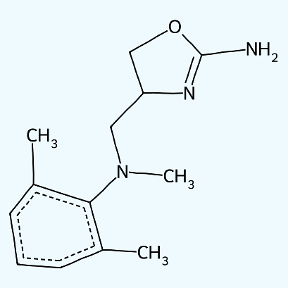 Cc1cccc(C)c1N(C)CC1COC(N)=N1